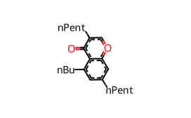 CCCCCc1cc(CCCC)c2c(=O)c(CCCCC)coc2c1